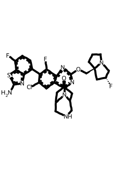 Nc1nc2c(-c3c(Cl)cc4c(N5C6CNCC5CC(=O)C6)nc(OC[C@@]56CCCN5C[C@H](F)C6)nc4c3F)ccc(F)c2s1